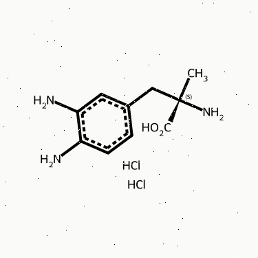 C[C@](N)(Cc1ccc(N)c(N)c1)C(=O)O.Cl.Cl